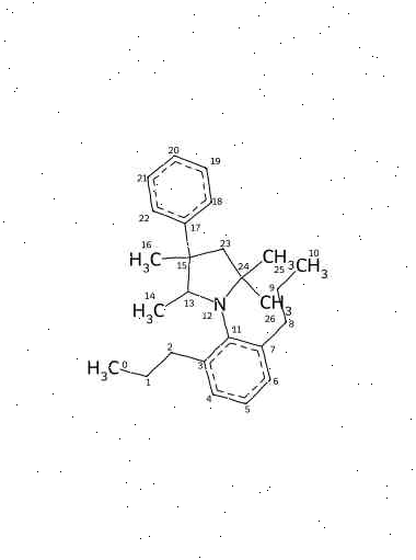 CCCc1cccc(CCC)c1N1C(C)C(C)(c2ccccc2)CC1(C)C